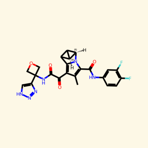 Cc1c(C(=O)C(=O)NC2(c3c[nH]nn3)COC2)c2n(c1C(=O)Nc1ccc(F)c(F)c1)[C@@H]1C3C2[C@@H]31